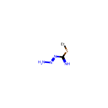 CCSC(=N)N=NN